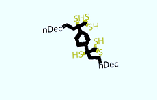 CCCCCCCCCCCCC(S)(C(=S)S)c1ccc(C(S)(CCCCCCCCCCCC)C(=S)S)cc1